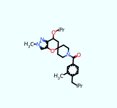 Cc1cc(C(=O)N2CCC3(CC2)CC(OC(C)C)c2nn(C)cc2O3)ccc1CC(C)C